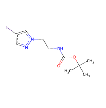 CC(C)(C)OC(=O)NCCn1cc(I)cn1